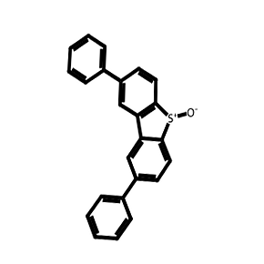 [O-][s+]1c2ccc(-c3ccccc3)cc2c2cc(-c3ccccc3)ccc21